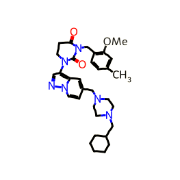 COc1cc(C)ccc1CN1C(=O)CCN(c2cnn3ccc(CN4CCN(CC5CCCCC5)CC4)cc23)C1=O